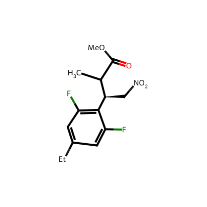 CCc1cc(F)c([C@H](C[N+](=O)[O-])C(C)C(=O)OC)c(F)c1